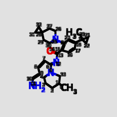 CC1CCCN(C(/C=C\C=C\N)=N/C(=O)c2ccc(C3(C)CC3)cc2N2CCC3(CC2)CC3)C1